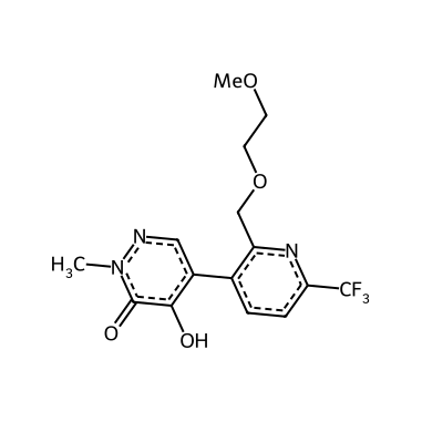 COCCOCc1nc(C(F)(F)F)ccc1-c1cnn(C)c(=O)c1O